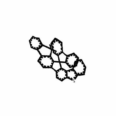 CC1(C)c2ccccc2-c2ccc3c(c21)C1(c2ccccc2-c2ccccc21)c1c-3ccc2sc3ccccc3c12